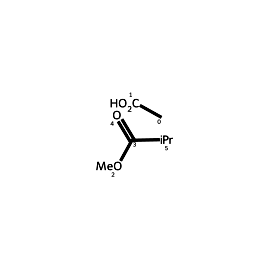 CC(=O)O.COC(=O)C(C)C